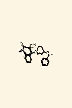 C[C@@H](OC1CCN(c2c(C#N)c(=O)n(C)c3ccccc23)CC1)c1ccccc1